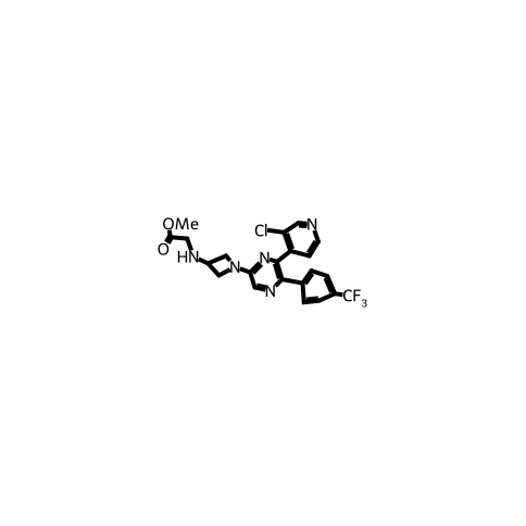 COC(=O)CNC1CN(c2cnc(-c3ccc(C(F)(F)F)cc3)c(-c3ccncc3Cl)n2)C1